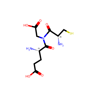 N[C@@H](CS)C(=O)N(CC(=O)O)C(=O)[C@@H](N)CCC(=O)O